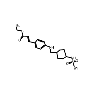 CCC(C)COC(=O)/C=C/c1ccc(NCC2CCC(NS(=O)(=O)C(C)C)CC2)cc1